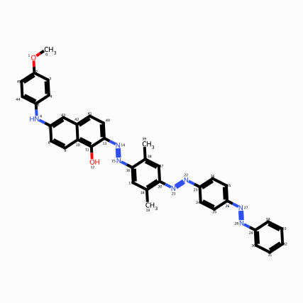 COc1ccc(Nc2ccc3c(O)c(N=Nc4cc(C)c(N=Nc5ccc(N=Nc6ccccc6)cc5)cc4C)ccc3c2)cc1